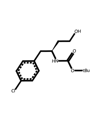 CC(C)(C)OC(=O)N[C@H](CCO)Cc1ccc(Cl)cc1